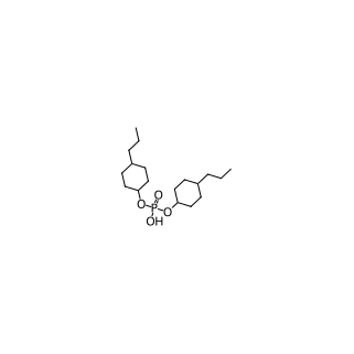 CCCC1CCC(OP(=O)(O)OC2CCC(CCC)CC2)CC1